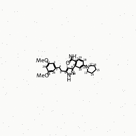 COc1cc(CCc2cc(-c3cc(N4CCCCC4)ccc3C(N)=O)n[nH]2)cc(OC)c1